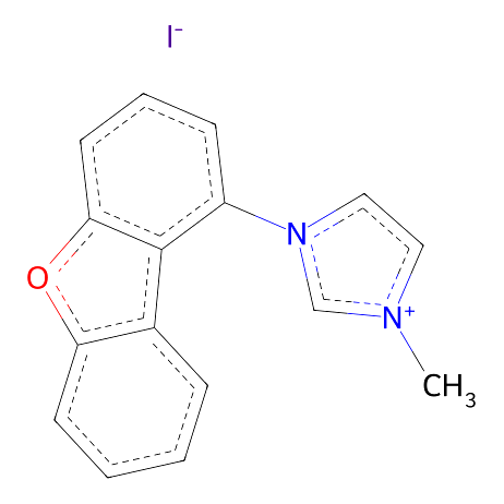 C[n+]1ccn(-c2cccc3oc4ccccc4c23)c1.[I-]